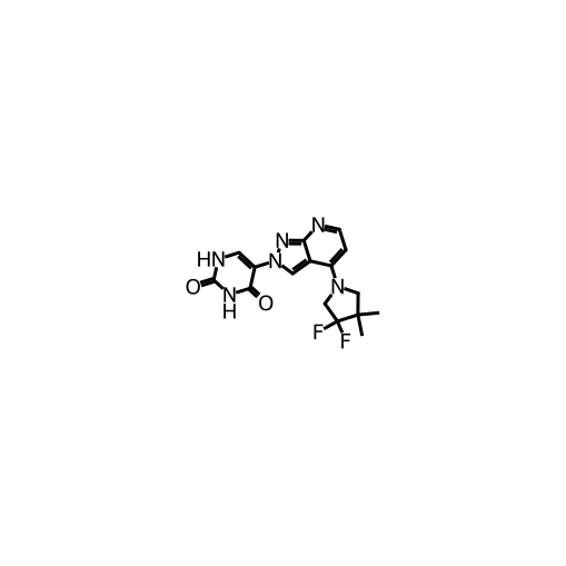 CC1(C)CN(c2ccnc3nn(-c4c[nH]c(=O)[nH]c4=O)cc23)CC1(F)F